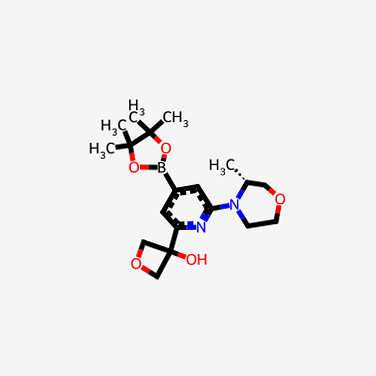 C[C@@H]1COCCN1c1cc(B2OC(C)(C)C(C)(C)O2)cc(C2(O)COC2)n1